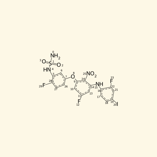 NS(=O)(=O)Nc1cc(Oc2cc(F)cc(Nc3ccc(I)cc3F)c2[N+](=O)[O-])ccc1F